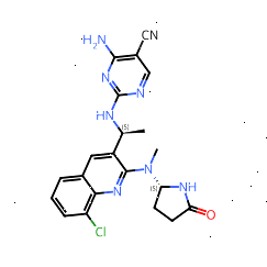 C[C@H](Nc1ncc(C#N)c(N)n1)c1cc2cccc(Cl)c2nc1N(C)[C@H]1CCC(=O)N1